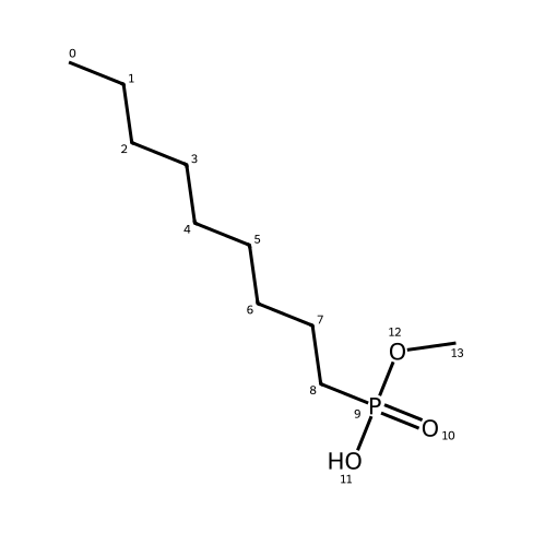 CCCCCCCCCP(=O)(O)OC